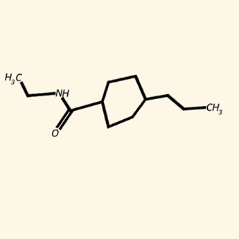 CCCC1CCC(C(=O)NCC)CC1